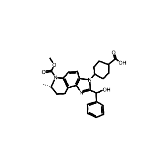 COC(=O)N1c2ccc3c(nc(C(O)c4ccccc4)n3C3CCC(C(=O)O)CC3)c2CC[C@@H]1C